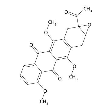 COc1cccc2c1C(=O)c1c(OC)c3c(c(OC)c1C2=O)CC1(C(C)=O)OC1C3